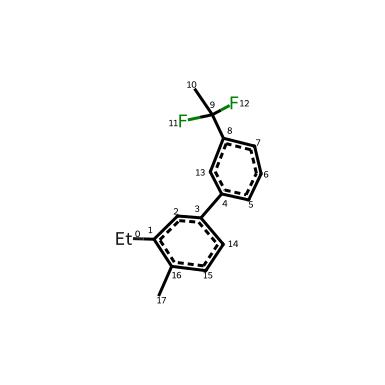 CCc1cc(-c2cccc(C(C)(F)F)c2)ccc1C